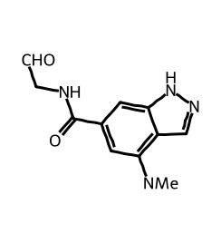 CNc1cc(C(=O)NCC=O)cc2[nH]ncc12